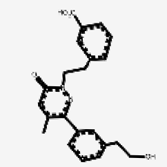 Cc1cc(=O)n(CCc2cccc(C(=O)O)c2)nc1-c1cccc(CCO)c1